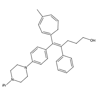 CC1=CC=C(/C(=C(\CCCO)c2ccccc2)c2ccc(N3CCN(C(C)C)CC3)cc2)CC=C1